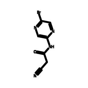 N#CCC(=O)Nc1cnc(Br)cn1